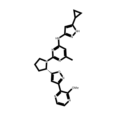 COc1nccnc1-c1cc([C@@H]2CCCN2c2nc(C)cc(Nc3cc(C4CC4)[nH]n3)n2)on1